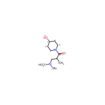 CC(CN(C(=O)O)C(C)(C)C)C(=O)N1CCC(O)CC1